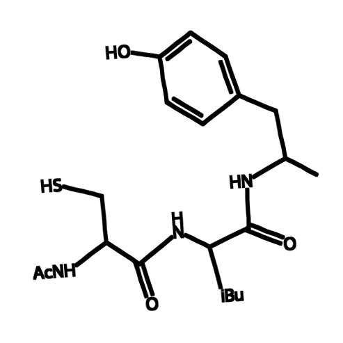 CCC(C)C(NC(=O)C(CS)NC(C)=O)C(=O)NC(C)Cc1ccc(O)cc1